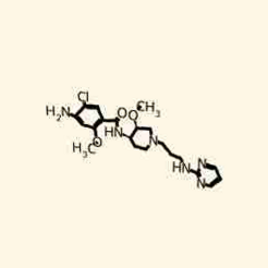 COc1cc(N)c(Cl)cc1C(=O)N[C@@H]1CCN(CCCNc2ncccn2)C[C@@H]1OC